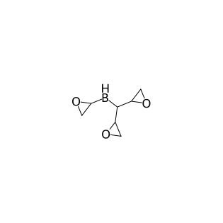 B(C1CO1)C(C1CO1)C1CO1